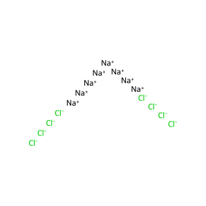 [Cl-].[Cl-].[Cl-].[Cl-].[Cl-].[Cl-].[Cl-].[Cl-].[Na+].[Na+].[Na+].[Na+].[Na+].[Na+].[Na+].[Na+]